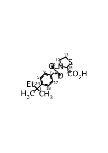 CCC(C)(C)c1ccc(S(=O)(=O)N2CCSC2C(=O)O)cc1